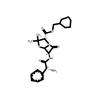 CC1(C)SC2[C@H](NC(=O)[C@H](N)c3ccccc3)C(=O)N2[C@H]1C(=O)OCC1CCCCC1